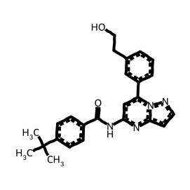 CC(C)(C)c1ccc(C(=O)Nc2cc(-c3cccc(CCO)c3)n3nccc3n2)cc1